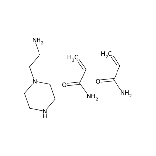 C=CC(N)=O.C=CC(N)=O.NCCN1CCNCC1